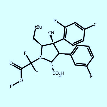 CC(C)(C)C[C@@H]1N(C(F)(F)C(=O)OF)[C@@H](C(=O)O)[C@H](c2cccc(F)c2)[C@@]1(C#N)c1ccc(Cl)cc1F